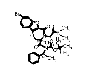 C[C@@H](c1ccccc1)N(C(=O)OC(C)(C)C)C(=O)[C@@]1(C)COc2c(oc3cc(Br)ccc23)C(=O)N1CC(=O)N(C)C